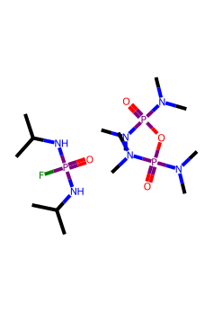 CC(C)NP(=O)(F)NC(C)C.CN(C)P(=O)(OP(=O)(N(C)C)N(C)C)N(C)C